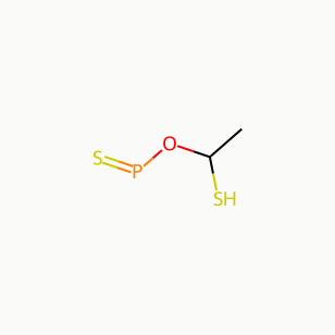 CC(S)OP=S